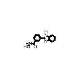 O=C(NO)c1cccc(-c2nc3ccccc3[nH]2)c1